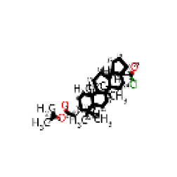 C=C(C)OC(=O)C[C@@H]1CC[C@@]2(C)C3CC[C@@H]4[C@H]5CCC[C@]5(C(=O)Cl)CC[C@@]4(C)[C@]3(C)CC[C@@H]2C1(C)C